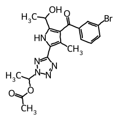 CC(=O)OC(C)n1nnc(-c2[nH]c(C(C)O)c(C(=O)c3cccc(Br)c3)c2C)n1